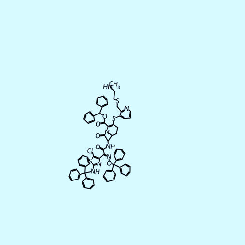 CNCCSCc1ncccc1SC1=C(C(=O)OC(c2ccccc2)c2ccccc2)N2C(=O)C(NC(=O)C(=NOC(c3ccccc3)(c3ccccc3)c3ccccc3)c3nc(NC(c4ccccc4)(c4ccccc4)c4ccccc4)sc3Cl)C2CC1